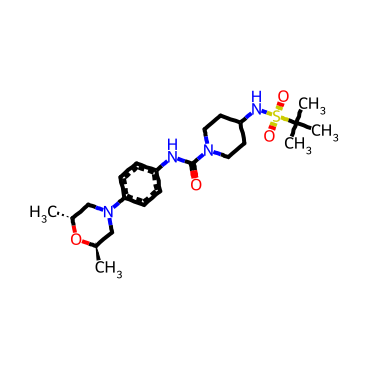 C[C@@H]1CN(c2ccc(NC(=O)N3CCC(NS(=O)(=O)C(C)(C)C)CC3)cc2)C[C@@H](C)O1